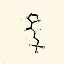 CC[N+](CC)(CC)CCOC(=O)C1NC=C[C@H]1C